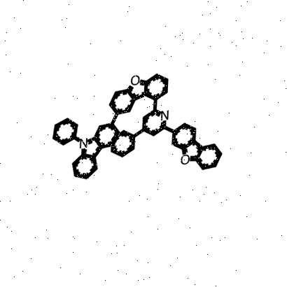 c1ccc(-c2cc(-c3ccc4c(c3)oc3ccccc34)nc(-c3cccc4oc5ccc(-c6ccc7c8ccccc8n(-c8ccccc8)c7c6)cc5c34)c2)cc1